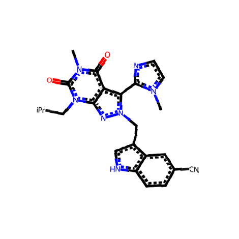 CC(C)Cn1c(=O)n(C)c(=O)c2c(-c3nccn3C)n(Cc3c[nH]c4ccc(C#N)cc34)nc21